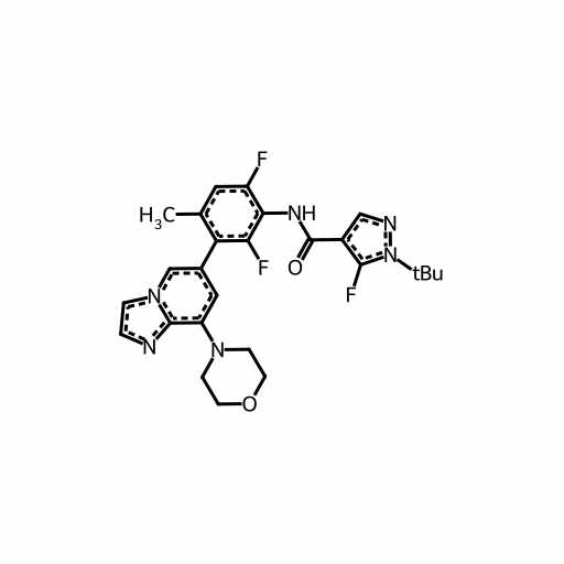 Cc1cc(F)c(NC(=O)c2cnn(C(C)(C)C)c2F)c(F)c1-c1cc(N2CCOCC2)c2nccn2c1